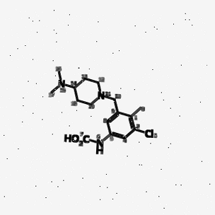 Cc1c(Cl)cc(NC(=O)O)cc1CN1CCC(N(C)C)CC1